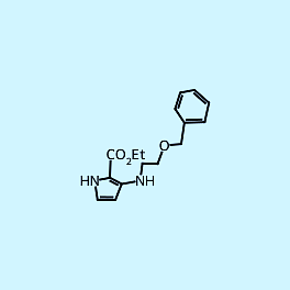 CCOC(=O)c1[nH]ccc1NCCOCc1ccccc1